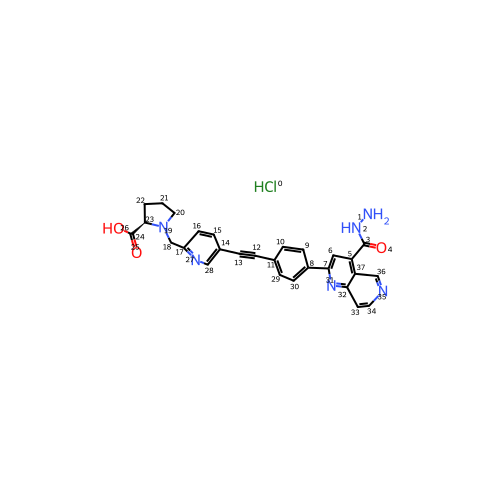 Cl.NNC(=O)c1cc(-c2ccc(C#Cc3ccc(CN4CCC[C@@H]4C(=O)O)nc3)cc2)nc2ccncc12